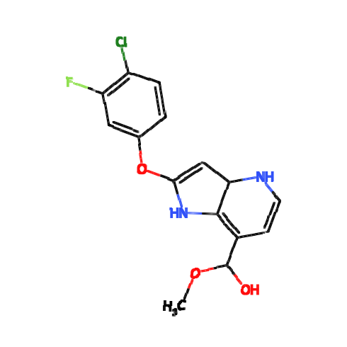 COC(O)C1=C2NC(Oc3ccc(Cl)c(F)c3)=CC2NC=C1